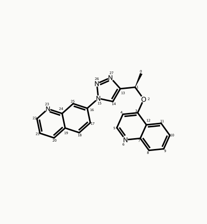 C[C@@H](Oc1ccnc2ccccc12)c1cn(-c2ccc3cccnc3c2)nn1